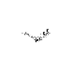 CCCc1ccc(-c2ccc(C(F)(F)Oc3ccc(-c4cc(F)c(OC=C(F)F)c(F)c4)c(F)c3)cc2)cc1